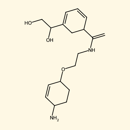 C=C(NCCOC1C=CC(N)CC1)C1C=CC=C(C(O)CO)C1